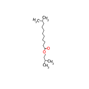 CC(C)CCCCCCCCC(=O)OCCC(C)C